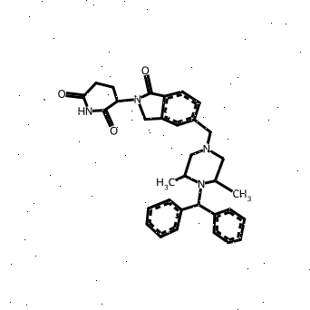 CC1CN(Cc2ccc3c(c2)CN(C2CCC(=O)NC2=O)C3=O)CC(C)N1C(c1ccccc1)c1ccccc1